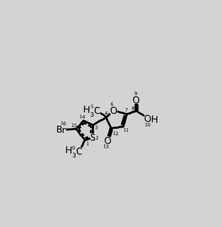 Cc1sc(C2(C)OC(C(=O)O)=CC2=O)cc1Br